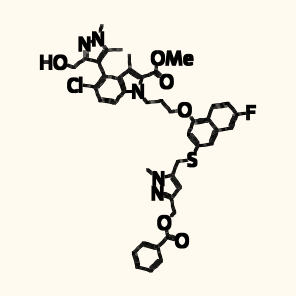 COC(=O)c1c(C)c2c(-c3c(CO)nn(C)c3C)c(Cl)ccc2n1CCCOc1cc(SCc2cc(COC(=O)c3ccccc3)nn2C)cc2cc(F)ccc12